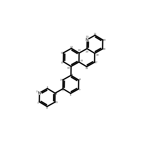 c1cncc(-c2cccc(-c3cccc4c3ccc3cccnc34)c2)c1